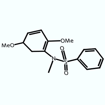 COC1=C(N(C)S(=O)(=O)c2ccccc2)CC(OC)C=C1